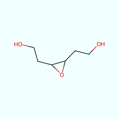 OCCC1OC1CCO